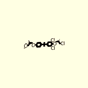 COC[C@@H](C)COc1ccc(C(C)(C)c2cc(Cl)c(OC[C@H](C)CCl)c(Cl)c2)cc1